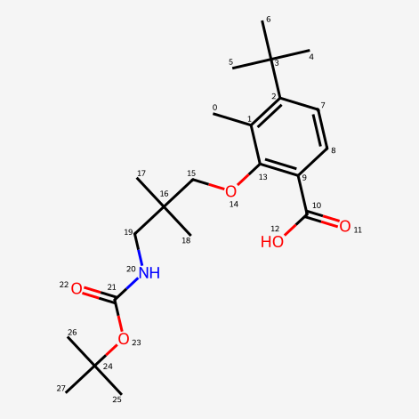 Cc1c(C(C)(C)C)ccc(C(=O)O)c1OCC(C)(C)CNC(=O)OC(C)(C)C